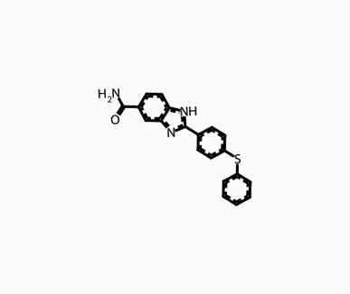 NC(=O)c1ccc2[nH]c(-c3ccc(Sc4ccccc4)cc3)nc2c1